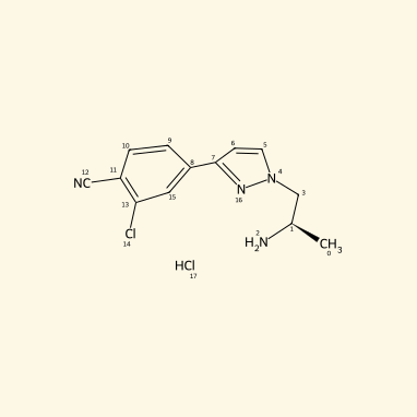 C[C@@H](N)Cn1ccc(-c2ccc(C#N)c(Cl)c2)n1.Cl